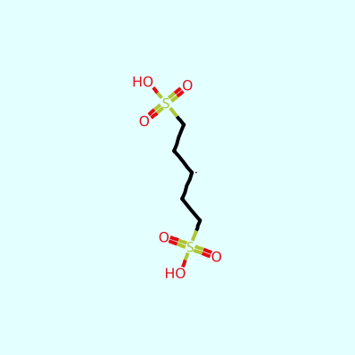 O=S(=O)(O)CC[CH]CCS(=O)(=O)O